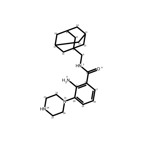 Nc1c(C(=O)NCC23CC4CC(CC(C4)C2)C3)cccc1N1CCNCC1